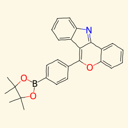 CC1(C)OB(c2ccc(-c3oc4ccccc4c4nc5ccccc5c3-4)cc2)OC1(C)C